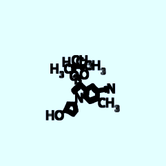 Cc1cc2c(cc1C#N)c(B1OC(C)(C)C(C)(C)O1)cn2[C@@H]1CC[C@@H](O)C1